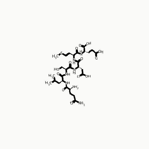 CSCC[C@H](NC(=O)[C@H](CC(=O)O)NC(=O)[C@H](CO)NC(=O)[C@H](CC(C)C)NC(=O)[C@@H](N)CCC(N)=O)C(=O)N[C@@H](CCC(=O)O)C(=O)O